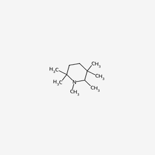 CC1N(C)C(C)(C)CCC1(C)C